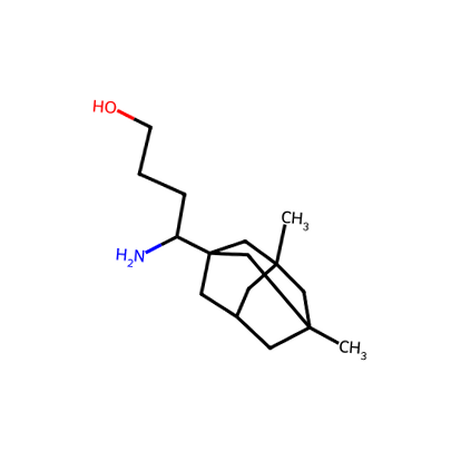 CC12CC3CC(C)(C1)CC(C(N)CCCO)(C3)C2